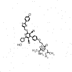 CC(C)C[C@H](NC(=O)[C@H](C)N)C(=O)OCCOc1ccc(-c2c(C#N)c(SCc3csc(-c4ccc(Cl)cc4)n3)nc(N3CCCC3)c2C#N)cc1.Cl